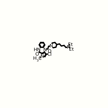 CCN(CC)CCCCC1CCN(CC(=O)N2c3ccccc3NC(=O)c3c2c(Cl)cn3C)CC1